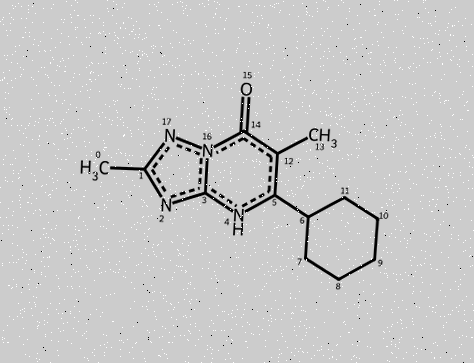 Cc1nc2[nH]c(C3CCCCC3)c(C)c(=O)n2n1